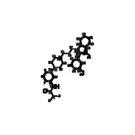 CC(C)C(=O)Nc1cccc(C2CCN(CCCc3c(-c4cccc(I)c4)n(C)c4ccccc34)CC2)c1